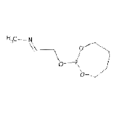 C/N=C/COP1OCCCCO1